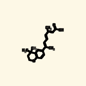 CC(C=CC=C(C)c1ccc2c(c1)C(C)(C)CCO2)=CC(=O)O